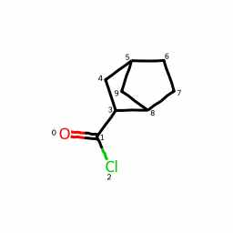 O=C(Cl)C1CC2CCC1C2